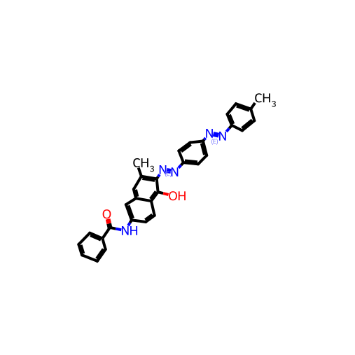 Cc1ccc(/N=N/c2ccc(/N=N/c3c(C)cc4cc(NC(=O)c5ccccc5)ccc4c3O)cc2)cc1